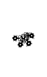 O=C[C@@H](OC(=O)c1ccccc1)[C@H](OC(=O)c1ccccc1)[C@H](OC(=O)c1ccccc1)[C@H](CO)OC(=O)c1ccccc1